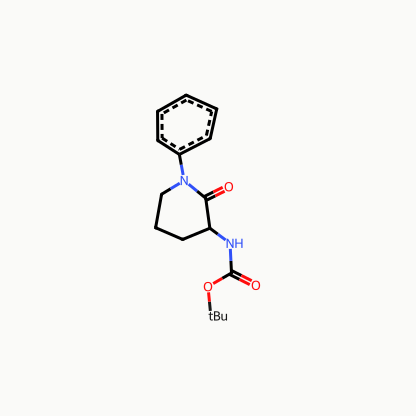 CC(C)(C)OC(=O)NC1CCCN(c2ccccc2)C1=O